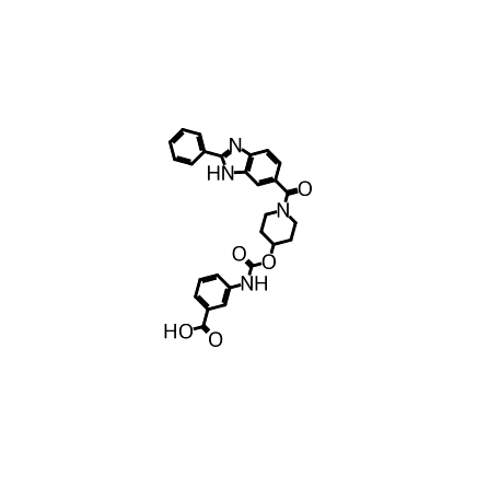 O=C(Nc1cccc(C(=O)O)c1)OC1CCN(C(=O)c2ccc3nc(-c4ccccc4)[nH]c3c2)CC1